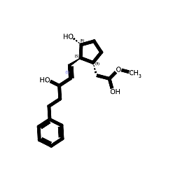 COC(O)C[C@H]1CC[C@@H](O)[C@@H]1/C=C/C(O)CCc1ccccc1